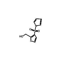 O=S(=O)(c1ccsc1CO)n1cccc1